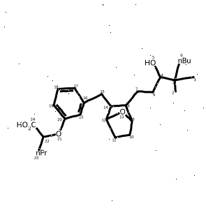 CCCCC(C)(C)C(O)CCC1C2CCC(O2)C1Cc1cccc(OC(CCC)C(=O)O)c1